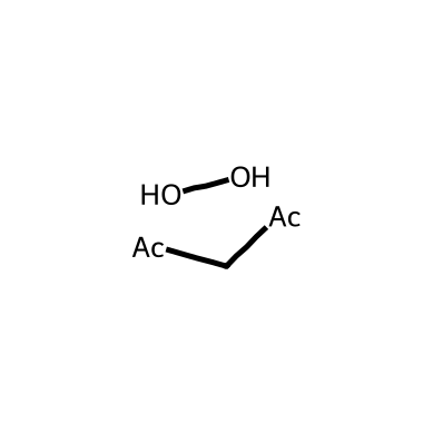 CC(=O)CC(C)=O.OO